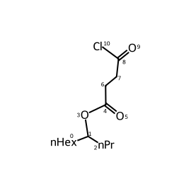 CCCCCCC(CCC)OC(=O)CCC(=O)Cl